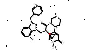 Cn1ccc([C@@H]2CCNC[C@H]2C(=O)N(Cc2cn(Cc3cccnc3)c3cccc(F)c23)C2CC2)cc1=O